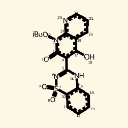 CC(C)COn1c(=O)c(C2=NS(=O)(=O)c3ccccc3N2)c(O)c2cccnc21